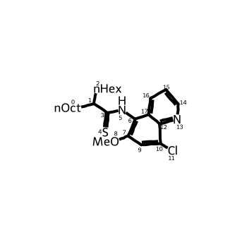 CCCCCCCCC(CCCCCC)C(=S)Nc1c(OC)cc(Cl)c2ncccc12